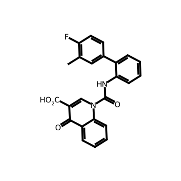 Cc1cc(-c2ccccc2NC(=O)n2cc(C(=O)O)c(=O)c3ccccc32)ccc1F